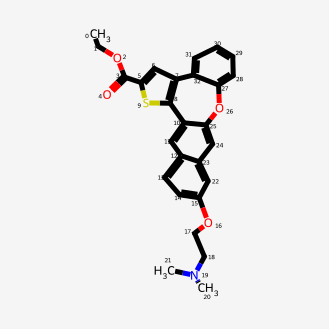 CCOC(=O)c1cc2c(s1)-c1cc3ccc(OCCN(C)C)cc3cc1Oc1ccccc1-2